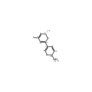 CC1=C[C@H](C)CC(C2=CCC(N)C=C2)=C1